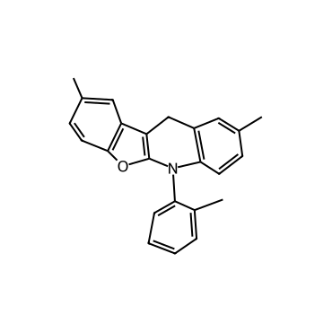 Cc1ccc2c(c1)Cc1c(oc3ccc(C)cc13)N2c1ccccc1C